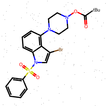 CC(C)(C)C(=O)ON1CCN(c2cccc3c2c(Br)cn3S(=O)(=O)c2ccccc2)CC1